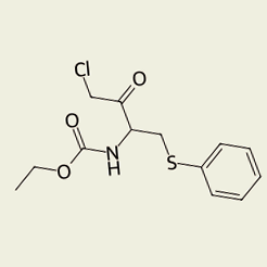 CCOC(=O)NC(CSc1ccccc1)C(=O)CCl